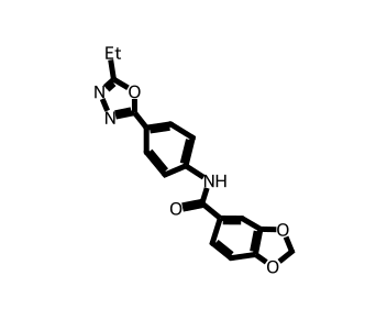 CCc1nnc(-c2ccc(NC(=O)c3ccc4c(c3)OCO4)cc2)o1